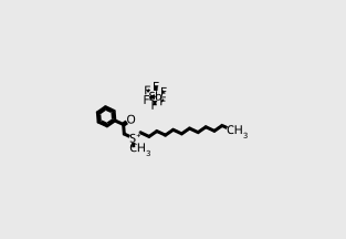 CCCCCCCCCCCC[S+](C)CC(=O)c1ccccc1.[F][Sb-]([F])([F])([F])([F])[F]